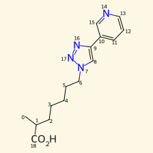 CC(CCCCCn1cc(-c2cccnc2)nn1)C(=O)O